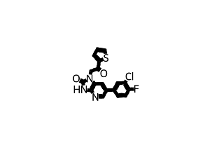 O=C(Cn1c(=O)[nH]c2ncc(-c3ccc(F)c(Cl)c3)cc21)c1cccs1